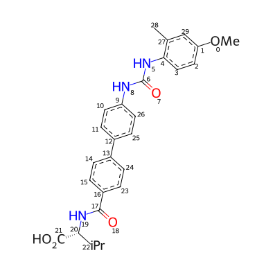 COc1ccc(NC(=O)Nc2ccc(-c3ccc(C(=O)N[C@@H](C(=O)O)C(C)C)cc3)cc2)c(C)c1